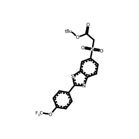 CC(C)(C)OC(=O)CS(=O)(=O)c1ccc2nc(-c3ccc(OC(F)(F)F)cc3)sc2c1